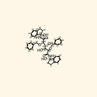 O=C(N[C@]1(O)CCc2ccccc21)[C@H](OCc1ccccc1)[C@H](O)[C@@H](O)[C@@H](OCc1ccccc1)C(=O)N[C@]1(O)CCc2ccccc21